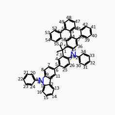 CC1(C)c2cc(-c3ccc4c(c3)c3ccccc3n4-c3ccccc3)ccc2N(c2ccccc2)c2cc(-c3ccccc3)c(-c3ccccc3-c3ccccc3)cc21